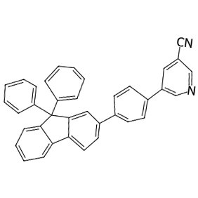 N#Cc1cncc(-c2ccc(-c3ccc4c(c3)C(c3ccccc3)(c3ccccc3)c3ccccc3-4)cc2)c1